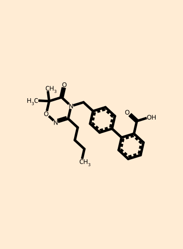 CCCCC1=NOC(C)(C)C(=O)N1Cc1ccc(-c2ccccc2C(=O)O)cc1